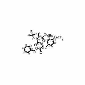 CN(C(=O)OC(C)(C)C)[C@@H](CC(C)(C)F)C(=O)O[C@H](Cc1ccc(OC(F)(F)F)cc1)C(=O)OCc1ccccc1